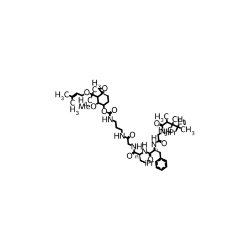 CCC(C)(C(C)C)C(C)(C)C(C)C(=O)NCC(=O)N[C@@H](Cc1ccccc1)C(=O)N[C@@H](CC(C)C)C(=O)NCC(=O)NCCCNC(=O)OC1CC[C@]2(CO2)C(C(C)(C)OCC=C(C)C)C1OC